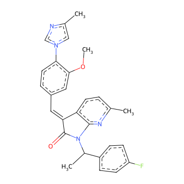 COc1cc(/C=C2/C(=O)N(C(C)c3ccc(F)cc3)c3nc(C)ccc32)ccc1-n1cnc(C)c1